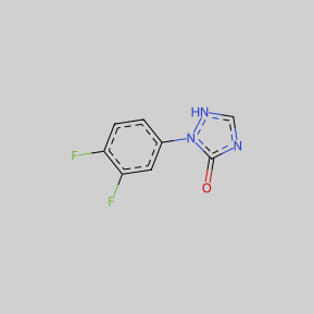 O=c1nc[nH]n1-c1ccc(F)c(F)c1